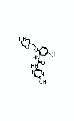 N#Cc1cnc(NC(=O)Nc2cc(Cl)ccc2OC[C@@H]2CNCCO2)cn1